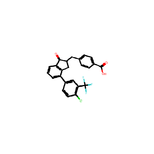 O=C(O)c1ccc(CC2Cc3c(cccc3-c3ccc(Cl)c(C(F)(F)F)c3)C2=O)cc1